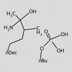 CCCCCCCCCCCCC(C)C(C)(N)O.CCCCOP(=O)(O)O